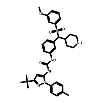 COc1cccc(S(=O)(=O)C(c2cccc(NC(=O)Nc3cc(C(C)(C)C)nn3-c3ccc(C)cc3)c2)C2CCNCC2)c1